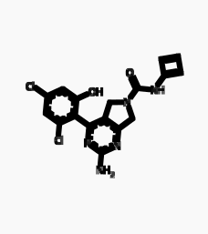 Nc1nc2c(c(-c3c(O)cc(Cl)cc3Cl)n1)CN(C(=O)NC1=CC=C1)C2